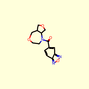 O=C(c1ccc2nonc2c1)N1CCOCC2COCC21